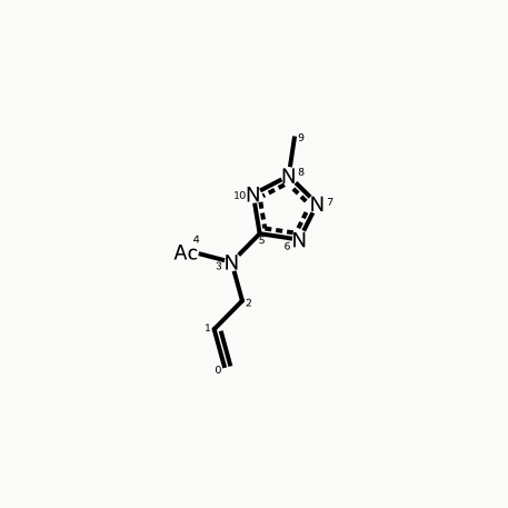 C=CCN(C(C)=O)c1nnn(C)n1